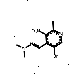 Cc1ncc(Br)c(/C=N/N(C)C)c1[N+](=O)[O-]